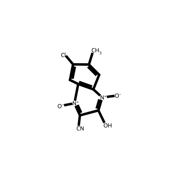 Cc1cc2c(cc1Cl)[n+]([O-])c(C#N)c(O)[n+]2[O-]